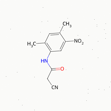 Cc1cc(C)c([N+](=O)[O-])cc1NC(=O)CC#N